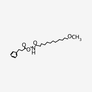 COCCCCCCCCCCCC(=O)NCOC(=O)CCc1ccccc1